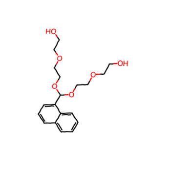 OCCOCCOC(OCCOCCO)c1cccc2ccccc12